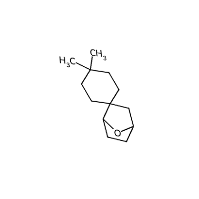 CC1(C)CCC2(CC1)CC1CCC2O1